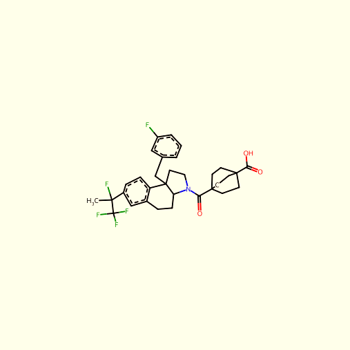 CC(F)(c1ccc2c(c1)CCC1N(C(=O)C34CCC(C(=O)O)(CC3)CC4)CCC21Cc1cccc(F)c1)C(F)(F)F